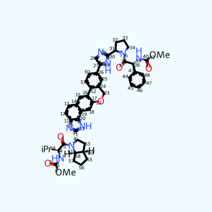 COC(=O)N[C@H](C(=O)N1[C@H](c2nc3ccc4cc5c(cc4c3[nH]2)OCc2cc(-c3cnc(C4CCCN4C(=O)[C@H](NC(=O)OC)c4ccccc4)[nH]3)ccc2-5)C[C@@H]2CCC[C@@H]21)C(C)C